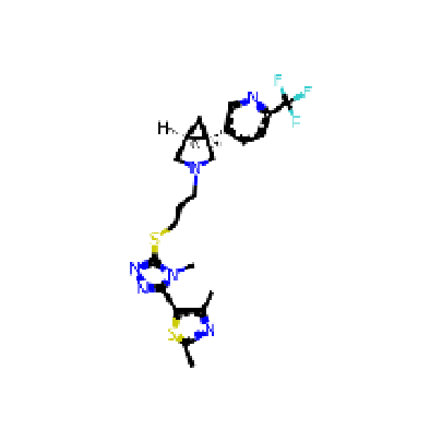 Cc1nc(C)c(-c2nnc(SCCCN3C[C@H]4C[C@@]4(c4ccc(C(F)(F)F)nc4)C3)n2C)s1